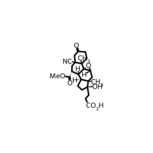 COC(=O)[C@@H]1C[C@]2(C#N)CC(=O)CC[C@]2(C)[C@@]23O[C@@H]2C[C@@]2(C)[C@@H](CC[C@@]2(O)CCC(=O)O)[C@H]13